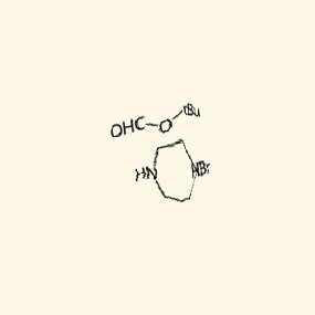 Br.C1CCNCC1.CC(C)(C)OC=O